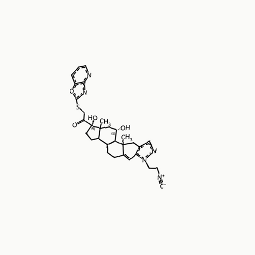 [C-]#[N+]CCn1ncc2c1C=C1CCC3C([C@@H](O)CC4(C)C3CC[C@]4(O)C(=O)CSc3nc4ncccc4o3)C1(C)C2